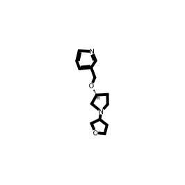 c1cncc(CO[C@@H]2CCN(C3CCOC3)C2)c1